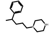 CC(CCCN1CCNCC1)c1ccccc1